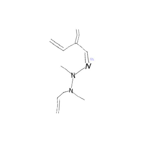 C=CC(=C)/C=N\N(C)N(C)C=C